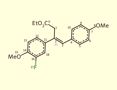 CCOC(=O)C/C(=C\c1ccc(OC)cc1)c1ccc(OC)c(F)c1